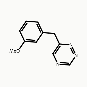 COc1cccc(Cc2cncnn2)c1